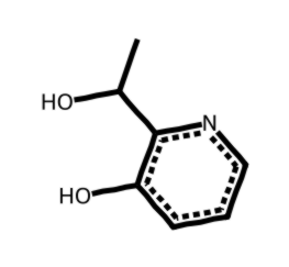 CC(O)c1ncccc1O